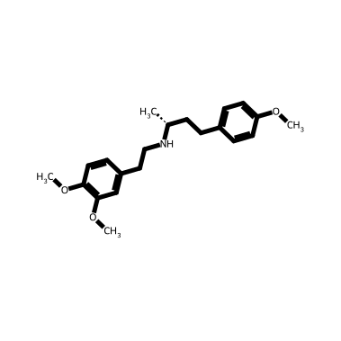 COc1ccc(CC[C@@H](C)NCCc2ccc(OC)c(OC)c2)cc1